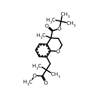 COC(=O)C(C)(C)Cc1cccc2c1OCCC2(C)C(=O)OC(C)(C)C